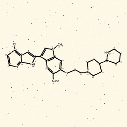 COc1cc2c(-c3cc4c(Cl)ccnc4[nH]3)cn(C)c2cc1OCCN1CCC(C2CCCCN2)CC1